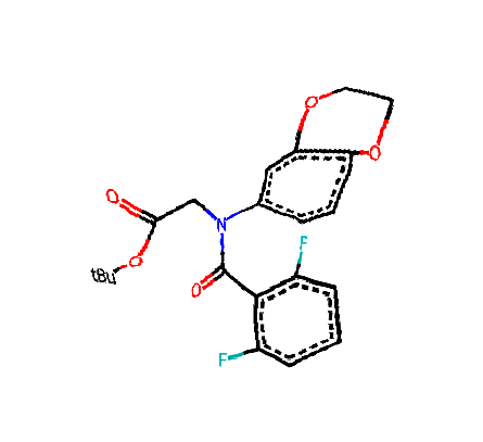 CC(C)(C)OC(=O)CN(C(=O)c1c(F)cccc1F)c1ccc2c(c1)OCCO2